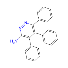 Nc1nnc(-c2ccccc2)c(-c2ccccc2)c1-c1ccccc1